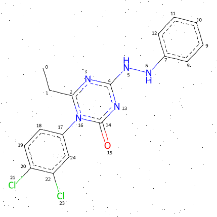 CCc1nc(NNc2ccccc2)nc(=O)n1-c1ccc(Cl)c(Cl)c1